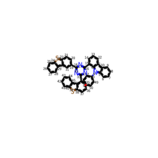 c1ccc(-n2c3ccccc3c3cccc(-c4nc(-c5ccc6sc7ccccc7c6c5)nc(-c5cccc6sc7ccccc7c56)n4)c32)cc1